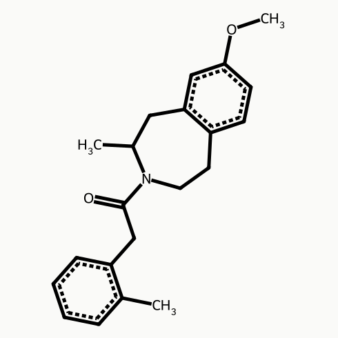 COc1ccc2c(c1)CC(C)N(C(=O)Cc1ccccc1C)CC2